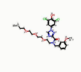 COCCOCCOCCOCCN(Cc1cccc(OC(F)(F)F)c1)C(=O)c1ncn(-c2cc(Cl)c(O)c(Cl)c2)n1